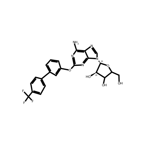 Nc1nc(Oc2cccc(-c3ccc(C(F)(F)F)cc3)c2)nc2c1ncn2[C@@H]1OC(CO)C(O)[C@H]1O